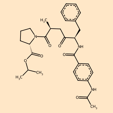 CC(=O)Nc1ccc(C(=O)N[C@H](Cc2ccccc2)C(=O)C[C@H](C)C(=O)N2CCC[C@H]2C(=O)OC(C)C)cc1